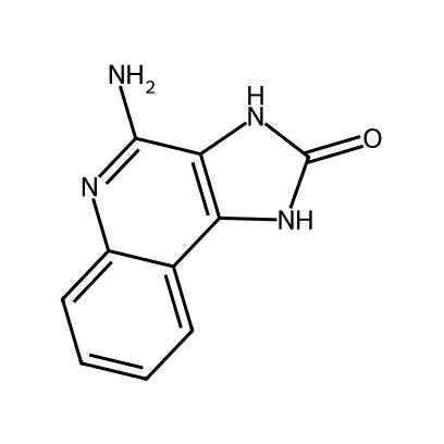 Nc1nc2ccccc2c2[nH]c(=O)[nH]c12